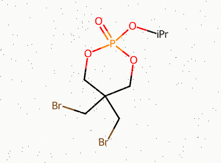 CC(C)OP1(=O)OCC(CBr)(CBr)CO1